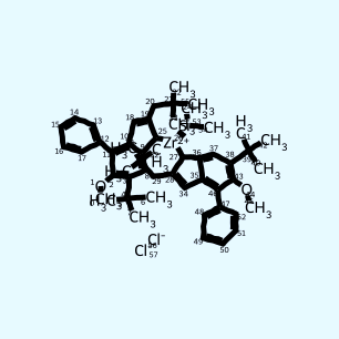 COc1c(C(C)(C)C)cc2c(c1-c1ccccc1)C=C(CC(C)(C)C)[CH]2[Zr+2]([CH]1C(CC(C)(C)C)=Cc2c1cc(C(C)(C)C)c(OC)c2-c1ccccc1)=[Si](C)C.[Cl-].[Cl-]